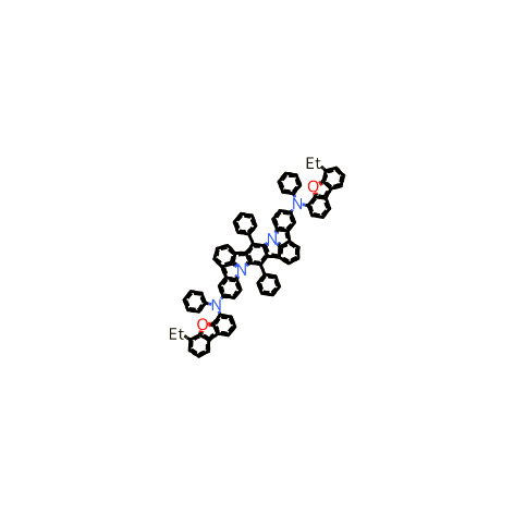 CCc1cccc2c1oc1c(N(c3ccccc3)c3ccc4c(c3)c3cccc5c6c(-c7ccccc7)c7c(c(-c8ccccc8)c6n4c35)c3cccc4c5cc(N(c6ccccc6)c6cccc8c6oc6c(CC)cccc68)ccc5n7c43)cccc12